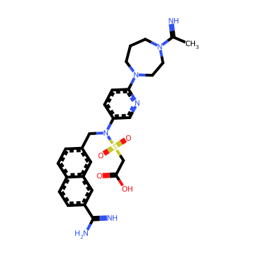 CC(=N)N1CCCN(c2ccc(N(Cc3ccc4ccc(C(=N)N)cc4c3)S(=O)(=O)CC(=O)O)cn2)CC1